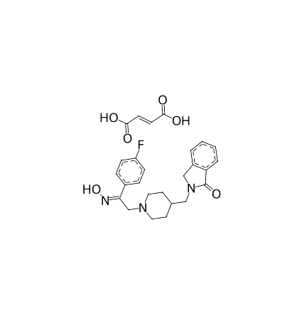 O=C(O)/C=C/C(=O)O.O=C1c2ccccc2CN1CC1CCN(C/C(=N/O)c2ccc(F)cc2)CC1